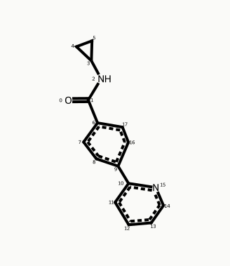 O=C(NC1CC1)c1ccc(-c2ccccn2)cc1